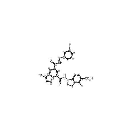 Cc1c(C(=O)O)ccc2c1CC[C@@H]2NC(=O)c1cc(C(=O)NCc2cccc(F)c2)nc2c(F)cnn12